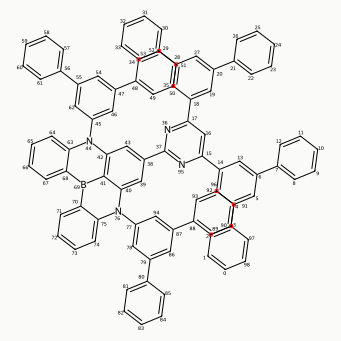 c1ccc(-c2cc(-c3ccccc3)cc(-c3cc(-c4cc(-c5ccccc5)cc(-c5ccccc5)c4)nc(-c4cc5c6c(c4)N(c4cc(-c7ccccc7)cc(-c7ccccc7)c4)c4ccccc4B6c4ccccc4N5c4cc(-c5ccccc5)cc(-c5ccccc5)c4)n3)c2)cc1